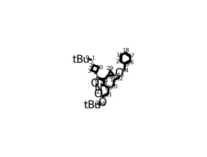 CC(C)(C)C[C@H]1C[C@@H](c2onc([C@@H](CCCOCc3ccccc3)CC(=O)OC(C)(C)C)c2C2CC2)C1